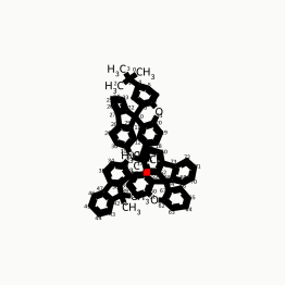 CC(C)(C)c1ccc2c(c1)C1(c3cc(C(C)(C)C)ccc3O2)c2ccccc2-c2ccc(N(c3ccc4c(c3)C(C)(C)c3ccccc3-4)c3ccc4c(c3)C3(c5ccccc5Oc5ccccc53)c3ccccc3-4)cc21